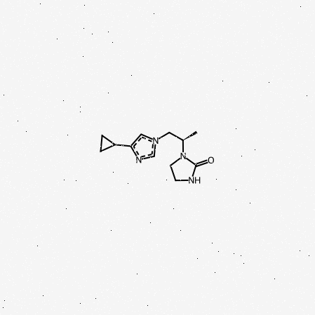 C[C@H](Cn1cnc(C2CC2)c1)N1CCNC1=O